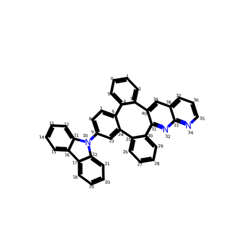 c1ccc2c(c1)-c1ccc(-n3c4ccccc4c4ccccc43)cc1-c1ccccc1-c1nc3ncccc3cc1-2